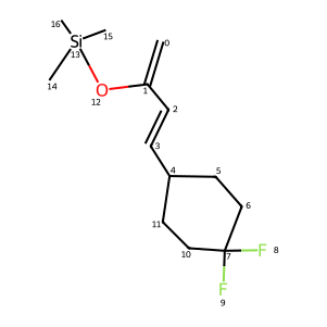 C=C(C=CC1CCC(F)(F)CC1)O[Si](C)(C)C